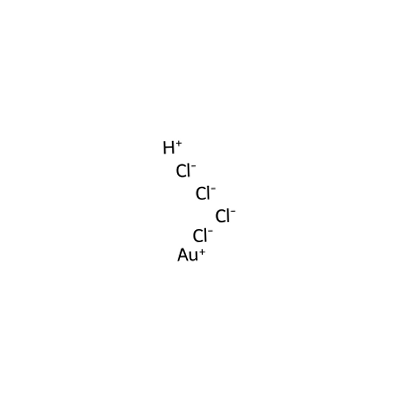 [Au+].[Cl-].[Cl-].[Cl-].[Cl-].[H+]